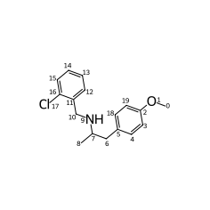 COc1ccc(CC(C)NCc2ccccc2Cl)cc1